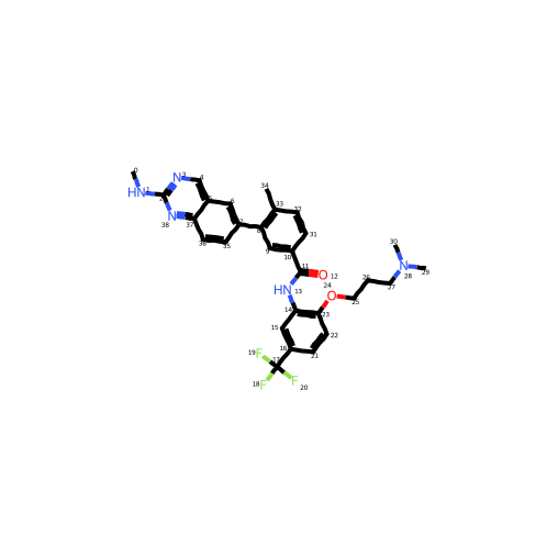 CNc1ncc2cc(-c3cc(C(=O)Nc4cc(C(F)(F)F)ccc4OCCCN(C)C)ccc3C)ccc2n1